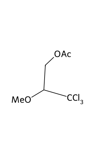 COC(COC(C)=O)C(Cl)(Cl)Cl